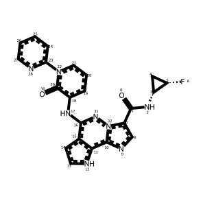 O=C(N[C@@H]1C[C@@H]1F)c1cnc2c3[nH]ccc3c(Nc3cccn(-c4ccccn4)c3=O)nn12